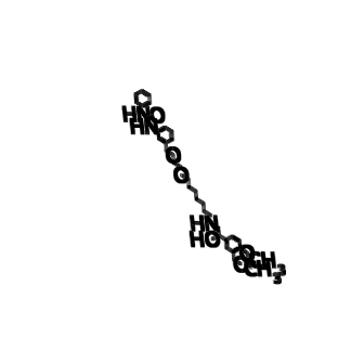 CC1(C)OCc2cc([C@@H](O)CNCCCCCCCOCCOCc3cccc(NC(=O)Nc4ccccc4)c3)ccc2O1